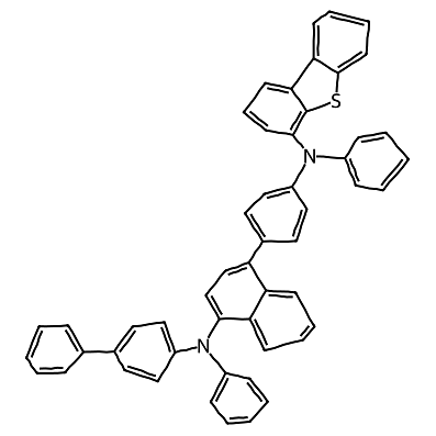 c1ccc(-c2ccc(N(c3ccccc3)c3ccc(-c4ccc(N(c5ccccc5)c5cccc6c5sc5ccccc56)cc4)c4ccccc34)cc2)cc1